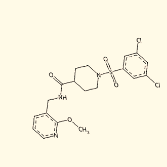 COc1ncccc1CNC(=O)C1CCN(S(=O)(=O)c2cc(Cl)cc(Cl)c2)CC1